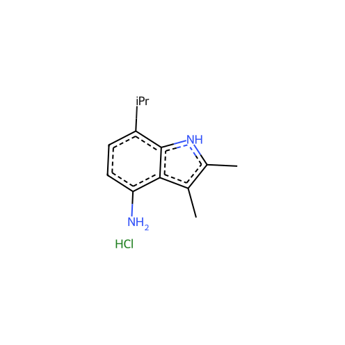 Cc1[nH]c2c(C(C)C)ccc(N)c2c1C.Cl